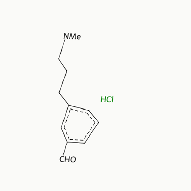 CNCCCc1cccc(C=O)c1.Cl